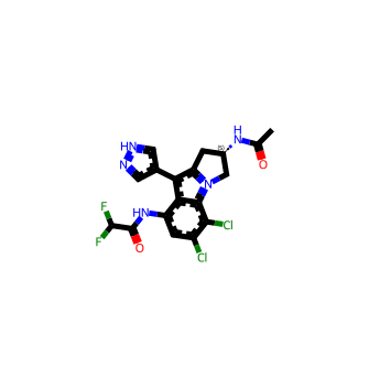 CC(=O)N[C@H]1Cc2c(-c3cn[nH]c3)c3c(NC(=O)C(F)F)cc(Cl)c(Cl)c3n2C1